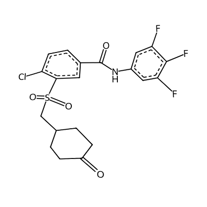 O=C1CCC(CS(=O)(=O)c2cc(C(=O)Nc3cc(F)c(F)c(F)c3)ccc2Cl)CC1